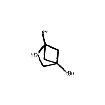 CC(C)C12CC(C(C)(C)C)(CN1)C2